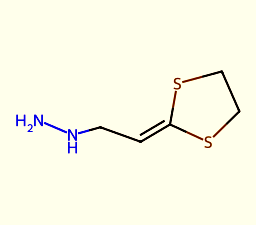 NNCC=C1SCCS1